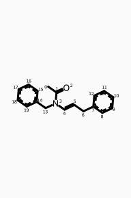 CC(=O)N(C=CCc1ccccc1)Cc1ccccc1